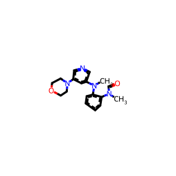 CN(C=O)c1ccccc1N(C)c1cncc(N2CCOCC2)c1